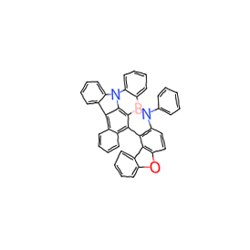 c1ccc(N2B3c4ccccc4-n4c5ccccc5c5c6ccccc6c(c3c54)-c3c2ccc2oc4ccccc4c32)cc1